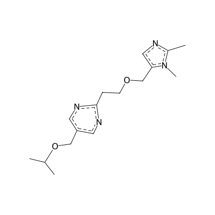 Cc1ncc(COCCc2ncc(COC(C)C)cn2)n1C